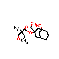 CCC(C)(CO)C(=O)OC1(CO)CC2CCCC(O)(C2)C1